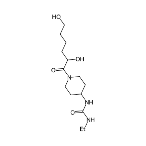 CCNC(=O)NC1CCN(C(=O)C(O)CCCCO)CC1